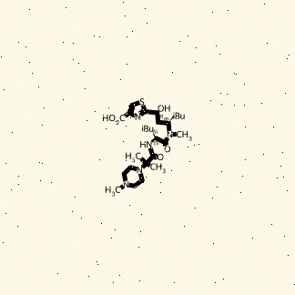 CCC(C)[C@@H](C[C@@H](O)c1nc(C(=O)O)cs1)N(C)C(=O)[C@@H](NC(=O)C(C)(C)N1CCN(C)CC1)[C@@H](C)CC